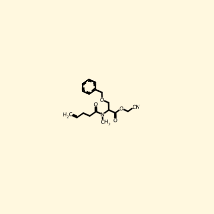 C=CCCC(=O)N(C)C(COCc1ccccc1)C(=O)OCC#N